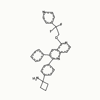 NC1(c2ccc(-c3nc4ccnc(OCC(F)(F)c5ccncc5)c4cc3-c3ccccc3)cc2)CCC1